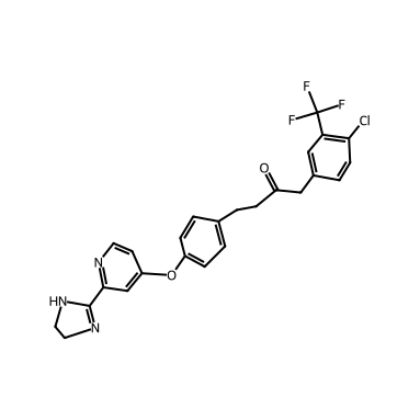 O=C(CCc1ccc(Oc2ccnc(C3=NCCN3)c2)cc1)Cc1ccc(Cl)c(C(F)(F)F)c1